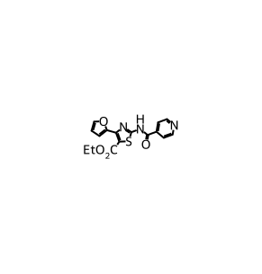 CCOC(=O)c1sc(NC(=O)c2ccncc2)nc1-c1ccco1